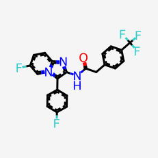 O=C(Cc1ccc(C(F)(F)F)cc1)Nc1nc2ccc(F)cn2c1-c1ccc(F)cc1